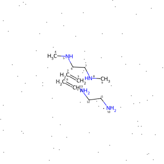 C=C.C=C.CNCCNC.NCCN